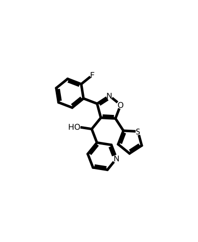 OC(c1cccnc1)c1c(-c2ccccc2F)noc1-c1cccs1